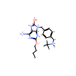 CCCCOc1nc(N)c2nc(O)n(Cc3ccc(CN(C)C(C)(C)C)cc3)c2n1